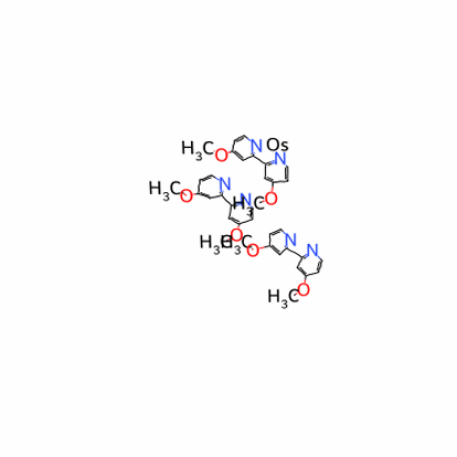 COc1ccnc(-c2cc(OC)ccn2)c1.COc1ccnc(-c2cc(OC)ccn2)c1.COc1ccnc(-c2cc(OC)ccn2)c1.[Os]